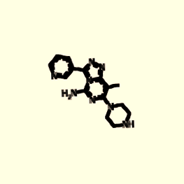 Cc1c(N2CCNCC2)nc(N)n2c(-c3cccnc3)nnc12